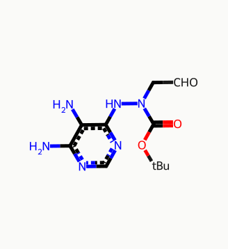 CC(C)(C)OC(=O)N(CC=O)Nc1ncnc(N)c1N